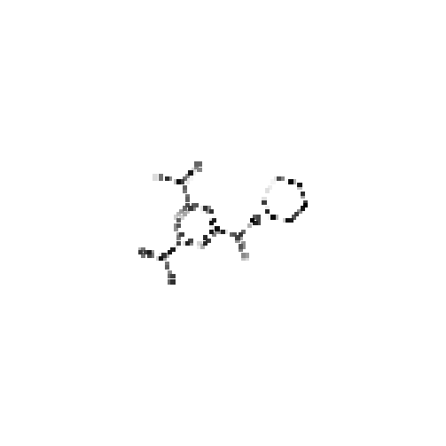 C1CCCCC1.O=C(Cl)c1cc(C(=O)Cl)cc(C(=O)Cl)c1